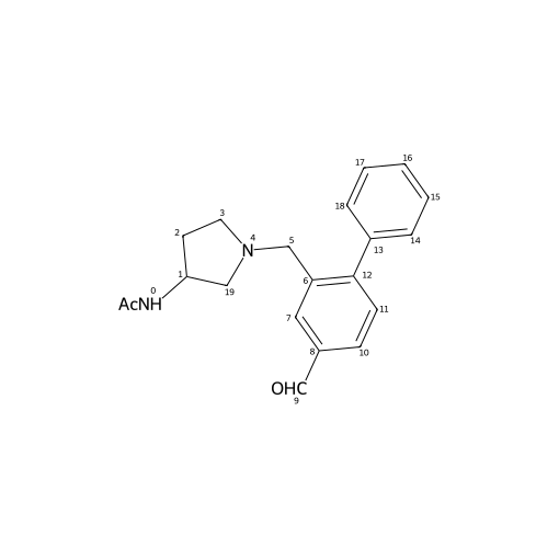 CC(=O)NC1CCN(Cc2cc(C=O)ccc2-c2ccccc2)C1